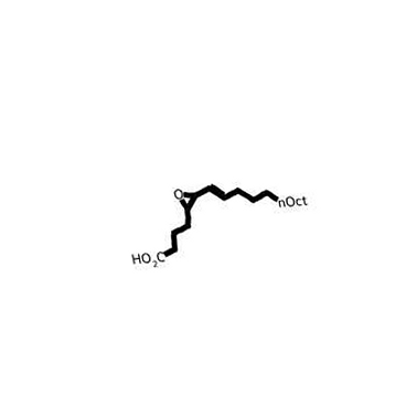 CCCCCCCCCCC/C=C/C1OC1CCCC(=O)O